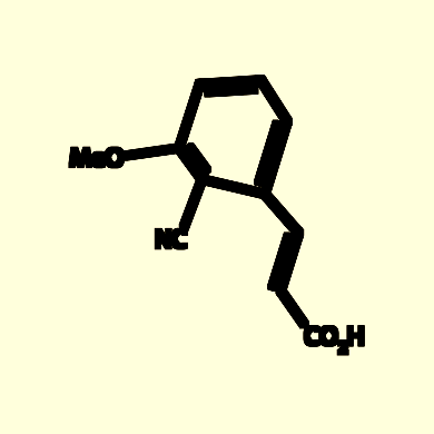 COc1cccc(C=CC(=O)O)c1C#N